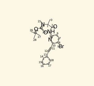 CC(C(=O)Nc1ccc(Br)c(C#Cc2ccccc2)n1)N(C)C(=O)OC(C)(C)C